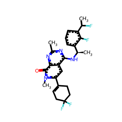 Cc1nc(N[C@H](C)c2cccc(C(C)F)c2F)c2cc(C3=CCC(F)(F)CC3)n(C)c(=O)c2n1